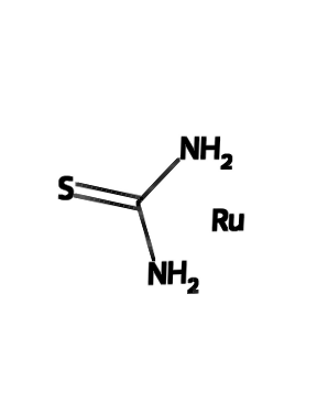 NC(N)=S.[Ru]